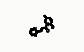 CC1C=CC(=O)N(C(=O)/C=C/c2ncccn2)C1